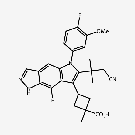 COc1cc(-n2c(C(C)(C)CC#N)c(C3CC(C)(C(=O)O)C3)c3c(F)c4[nH]ncc4cc32)ccc1F